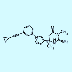 CN1C(=N)N[C@](C)(c2cnn(-c3cccc(C#CC4CC4)c3)c2)CC1=O